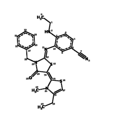 CCNc1ccc(C#N)cc1N=C1SC(=C2SC=C(CC)N2C)C(=O)N1Cc1ccccc1